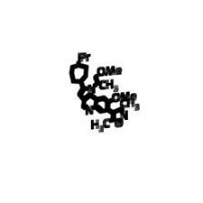 COCC(C)n1c(C2CCCC(C(C)C)CC2)cc2cnc3cc(-c4c(C)noc4C)c(OC)cc3c21